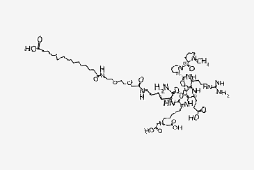 CN1CCC[C@H]1C(=O)N1CCC[C@H]1C(=O)N[C@@H](CCCNC(=N)N)C(=O)N[C@@H](CCC(=O)O)C(=O)N[C@@H](CCCCN(CC(=O)O)CC(=O)O)C(=O)N[C@@H](CCCCNC(=O)COCCOCCNC(=O)CCCCCCCCCCCCCCC(=O)O)C(N)=O